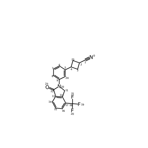 N#CC1CC(c2cccc(N3Cc4c(cccc4C(F)(F)F)C3=O)c2)C1